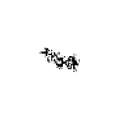 CN(C(=O)OC(C)(C)C)c1cc(B2OC(C)(C)C(C)(C)O2)ccn1